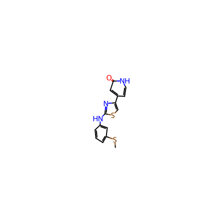 CSc1cccc(Nc2nc(-c3cc[nH]c(=O)c3)cs2)c1